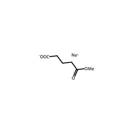 COC(=O)CCCC(=O)[O-].[Na+]